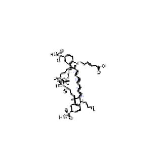 COCCN1/C(=C/C=C/C=C/C=C/C2=[N+](CCCCCC(=O)O)c3ccc(S(=O)(=O)O)cc3C2(CCCS(=O)(=O)O)CCOC)C(C)(CCCS(=O)(=O)O)c2cc(S(=O)(=O)O)ccc21